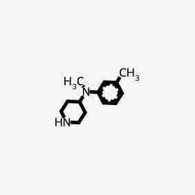 Cc1cccc(N(C)C2CCNCC2)c1